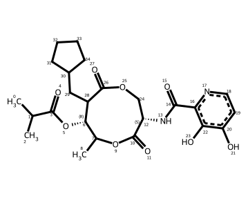 CC(C)C(=O)O[C@H]1C(C)OC(=O)[C@@H](NC(=O)c2nccc(O)c2O)COC(=O)C1CC1CCCC1